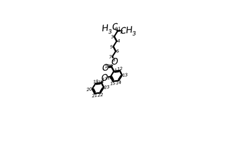 CC(C)CCCCCOC(=O)c1ccccc1Oc1ccccc1